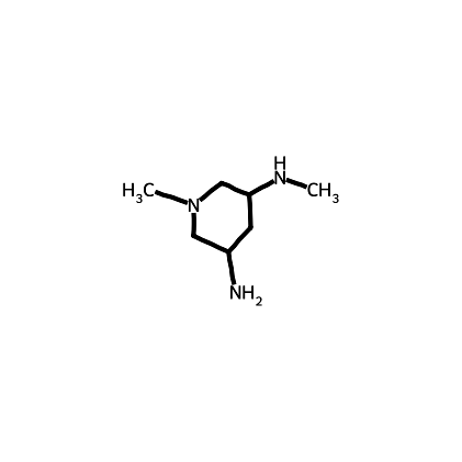 CNC1CC(N)CN(C)C1